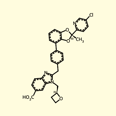 C[C@]1(c2ccc(Cl)cn2)Oc2cccc(-c3ccc(Cc4nc5ccc(C(=O)O)cc5n4C[C@@H]4CCO4)cc3)c2O1